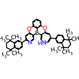 CC1(C)CCC(C)(C)c2cc(C3=CNC=C4B5c6cnc(-c7ccc8c(c7)C(C)(C)CCC8(C)C)cc6Oc6cccc(c65)OC4=C3)ccc21